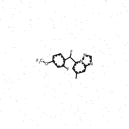 Cc1cc(C(F)c2ccc(OC(F)(F)F)cc2F)n2ncnc2c1